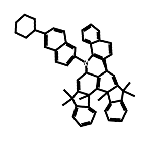 CC1(C)C2=CC3(C)C4=C(C2(C)c2ccccc21)C1(C)C(=CC4(C)N(c2ccc4cc(C5CCCCC5)ccc4c2)c2c3ccc3ccccc23)C(C)(C)c2ccccc21